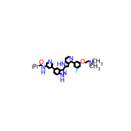 CC(C)C(=O)Nc1cncc(-c2ccc3[nH]nc(-c4cc5c(-c6cc(F)cc(OCCN(C)C)c6)nccc5[nH]4)c3c2)c1